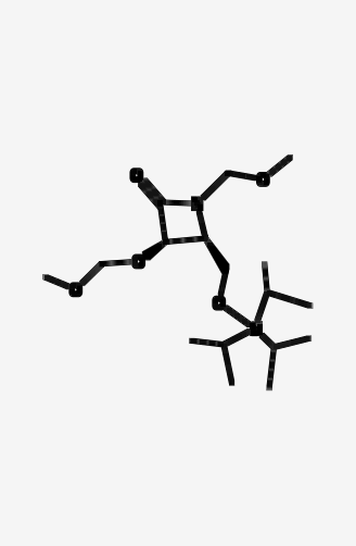 COCO[C@H]1C(=O)N(COC)[C@H]1CO[Si](C(C)C)(C(C)C)C(C)C